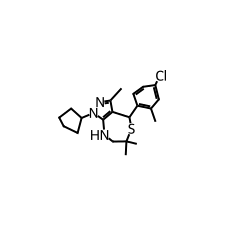 Cc1cc(Cl)ccc1C1SC(C)(C)CNc2c1c(C)nn2C1CCCC1